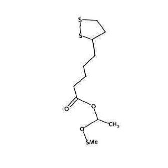 CSOC(C)OC(=O)CCCCC1CCSS1